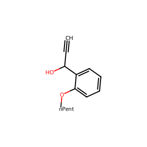 C#CC(O)c1ccccc1OCCCCC